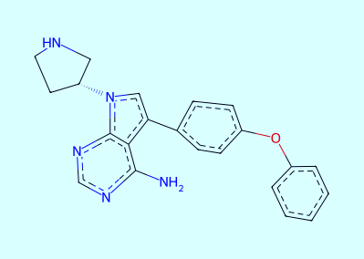 Nc1ncnc2c1c(-c1ccc(Oc3ccccc3)cc1)cn2[C@@H]1CCNC1